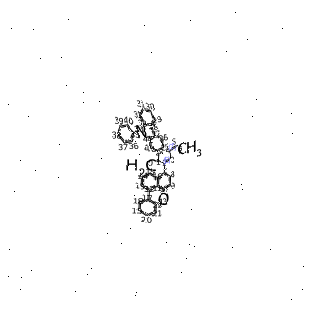 C=C(/C(=C\C=C/C)c1ccc2c3c(cccc13)-c1ccccc1O2)c1ccc2c3ccccc3n(-c3ccccc3)c2c1